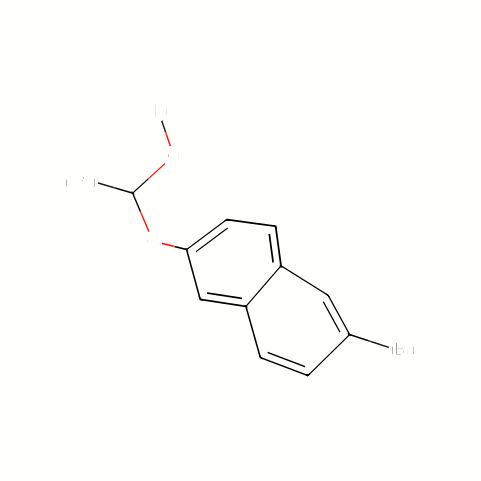 CCCCC(OCC)Oc1ccc2cc(C(C)CC)ccc2c1